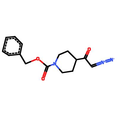 [N-]=[N+]=CC(=O)C1CCN(C(=O)OCc2ccccc2)CC1